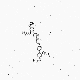 COc1ccc(-c2ccc(N3CCCN(c4ccc(-c5ccc(OC)cc5OC)cn4)CC3)nc2)c(OC)c1